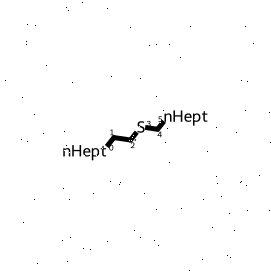 CCCCCCCC[CH]SCCCCCCCC